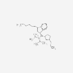 C=CCC1CCC(B(C2CC(CCCCCC)c3ccccc32)N(C(C)C)C(C)C)C1